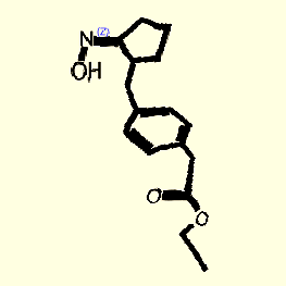 CCOC(=O)Cc1ccc(CC2CCC/C2=N/O)cc1